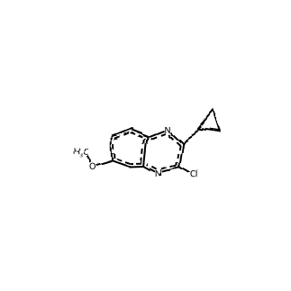 COc1ccc2nc(C3CC3)c(Cl)nc2c1